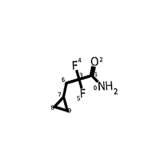 NC(=O)C(F)(F)CC1CC1